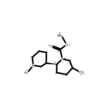 CC(=O)N1CCCC([C@@H]2CCC(C)CN2C(=O)OC(C)(C)C)C1